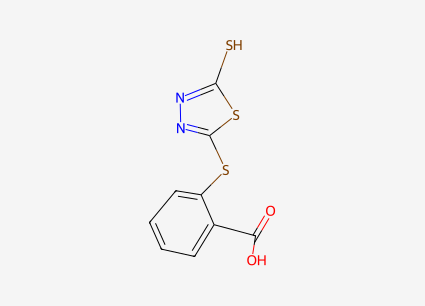 O=C(O)c1ccccc1Sc1nnc(S)s1